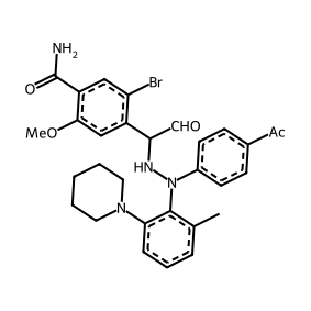 COc1cc(C(C=O)NN(c2ccc(C(C)=O)cc2)c2c(C)cccc2N2CCCCC2)c(Br)cc1C(N)=O